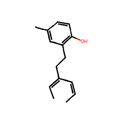 C/C=C\C(=C/C)CCc1cc(C)ccc1O